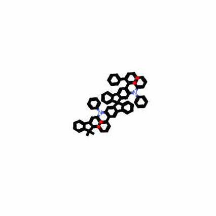 CC1(C)c2ccccc2-c2cc(N(c3ccccc3)c3cc4c(cc3-c3ccccc3)-c3ccccc3C43c4ccccc4-c4cc(-c5ccccc5-c5ccccc5)c(N(c5ccccc5)c5ccccc5)cc43)ccc21